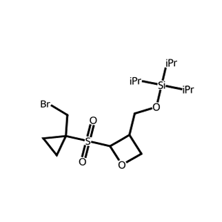 CC(C)[Si](OCC1COC1S(=O)(=O)C1(CBr)CC1)(C(C)C)C(C)C